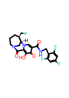 O=C(NCc1c(F)cc(F)cc1F)c1cn2c(c(O)c1=O)C(=O)N1CCC[C@@H](CF)[C@@H]2C1